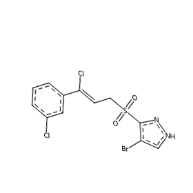 O=S(=O)(CC=C(Cl)c1cccc(Cl)c1)c1n[nH]cc1Br